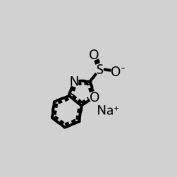 O=S([O-])c1nc2ccccc2o1.[Na+]